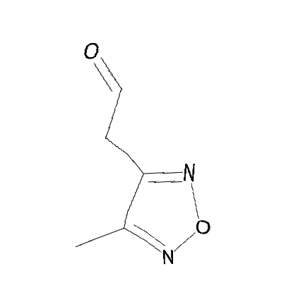 Cc1nonc1CC=O